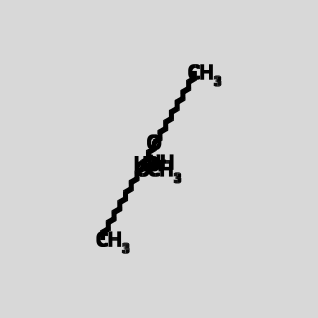 Br.CCCCCCCCCCCCCCOCCC(COCCCCCCCCCCCCCC)NC